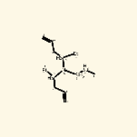 C=CC[SiH](CC)N([SiH2][SiH2]C)[SiH](CC)CC=C